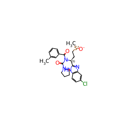 Cc1cccc(C(=O)N(C(=O)N2CCCC2)[C@@H](CC[S+](C)[O-])c2nc3cc(Cl)ccc3[nH]2)c1